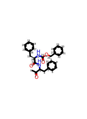 CC(=O)C(Cc1ccccc1)NC(=O)[C@@H](Cc1ccccc1)NC(=O)OCc1ccccc1